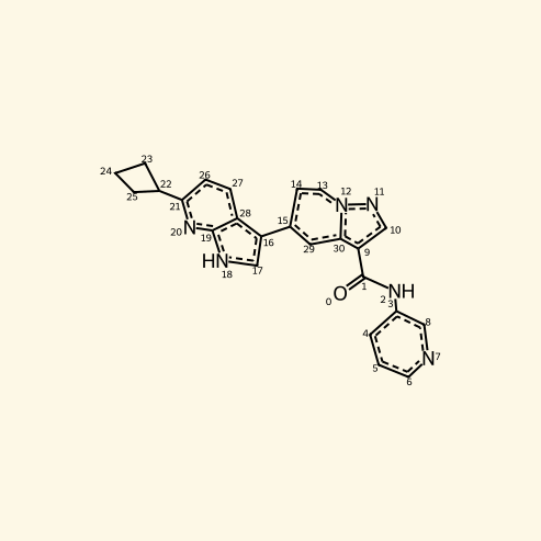 O=C(Nc1cccnc1)c1cnn2ccc(-c3c[nH]c4nc(C5CCC5)ccc34)cc12